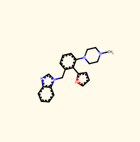 CN1CCN(c2cccc(Cn3cnc4ccccc43)c2-c2ccco2)CC1